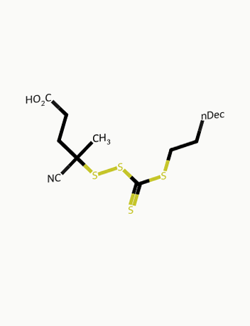 CCCCCCCCCCCCSC(=S)SSC(C)(C#N)CCC(=O)O